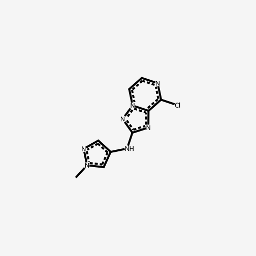 Cn1cc(Nc2nc3c(Cl)nccn3n2)cn1